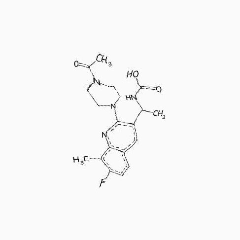 CC(=O)N1CCN(c2nc3c(C)c(F)ccc3cc2C(C)NC(=O)O)CC1